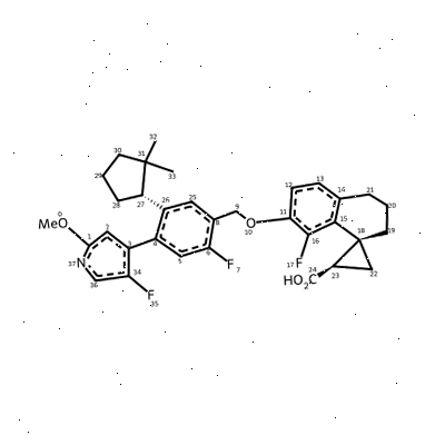 COc1cc(-c2cc(F)c(COc3ccc4c(c3F)[C@]3(CCC4)C[C@H]3C(=O)O)cc2[C@@H]2CCCC2(C)C)c(F)cn1